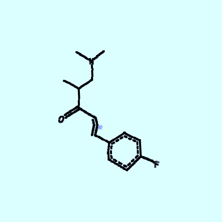 CC(CN(C)C)C(=O)/C=C/c1ccc(F)cc1